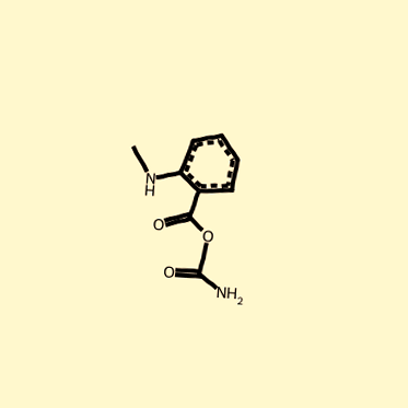 CNc1ccccc1C(=O)OC(N)=O